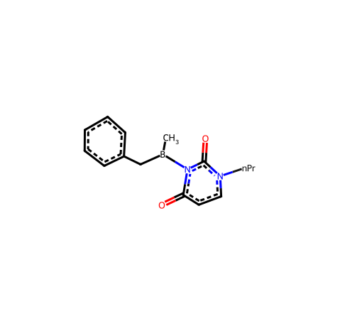 CCCn1ccc(=O)n(B(C)Cc2ccccc2)c1=O